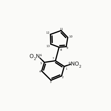 O=[N+]([O-])c1cccc([N+](=O)[O-])c1-c1ccccc1